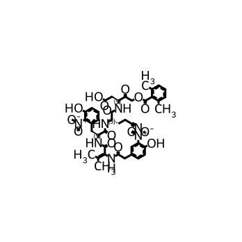 CC(C)=C(NC(=O)Cc1ccc(O)c([N+](=O)[O-])c1)C(=O)N[C@@H](Cc1cccc(O)c1[N+](=O)[O-])C(=O)N[C@@H](CCC#N)C(=O)N[C@@H](CC(=O)O)C(=O)COC(=O)c1c(C)cccc1C